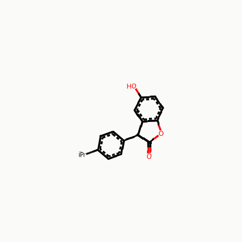 CC(C)c1ccc(C2C(=O)Oc3ccc(O)cc32)cc1